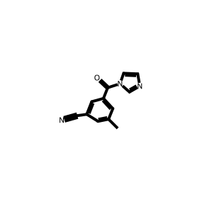 Cc1cc(C#N)cc(C(=O)n2ccnc2)c1